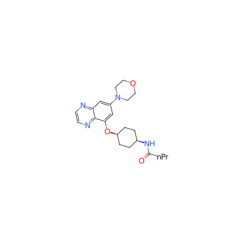 CCCC(=O)N[C@H]1CC[C@@H](Oc2cc(N3CCOCC3)cc3nccnc23)CC1